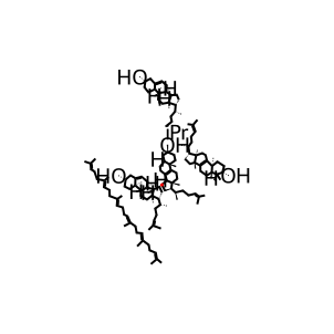 CC(C)=CCC/C(C)=C/CC/C(C)=C/CC/C=C(\C)CC/C=C(\C)CCC=C(C)C.CC(C)=CCC[C@@H](C)[C@H]1CC[C@@]2(C)C3=C(CC[C@]12C)[C@@]1(C)CC[C@H](O)C(C)(C)[C@@H]1CC3.CC(C)=CCC[C@@H](C)[C@H]1CC[C@H]2C3=C(CC[C@]12C)[C@@]1(C)CC[C@H](O)C[C@@H]1CC3.CC(C)=CCC[C@@H](C)[C@H]1CC[C@H]2[C@@H]3CC=C4C[C@@H](O)CC[C@]4(C)[C@H]3CC[C@]12C.CC(C)CCC[C@@H](C)[C@H]1CC[C@H]2[C@@H]3CC=C4C[C@@H](O)CC[C@]4(C)[C@H]3CC[C@]12C